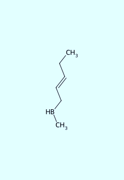 CBC/C=C/CC